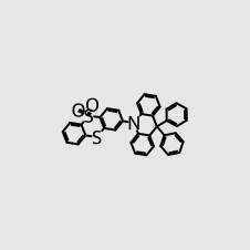 O=S1(=O)c2ccccc2Sc2cc(N3c4ccccc4C(c4ccccc4)(c4ccccc4)c4ccccc43)ccc21